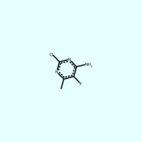 Cc1nc(Cl)nc(N)c1F